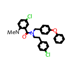 CNc1ccc(Cl)cc1C(=O)N(CCc1ccc(Cl)cc1)Cc1ccc(Oc2ccccc2)cc1